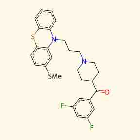 CSc1ccc2c(c1)N(CCCN1CCC(C(=O)c3cc(F)cc(F)c3)CC1)c1ccccc1S2